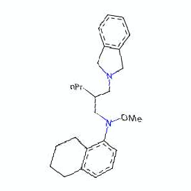 CCCC(CN1Cc2ccccc2C1)CN(OC)c1cccc2c1CCCC2